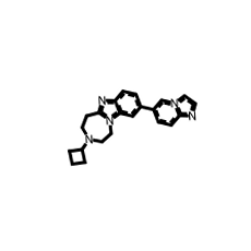 c1cn2cc(-c3ccc4nc5n(c4c3)CCN(C3CCC3)CC5)ccc2n1